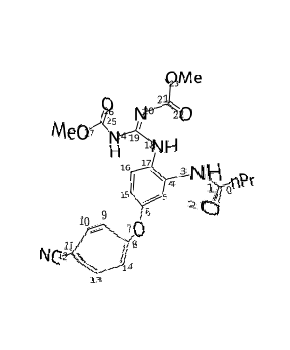 CCCC(=O)Nc1cc(Oc2ccc(C#N)cc2)ccc1NC(=NC(=O)OC)NC(=O)OC